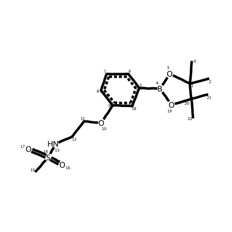 CC1(C)OB(c2cccc(OCCNS(C)(=O)=O)c2)OC1(C)C